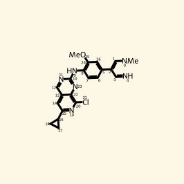 CN/C=C(\C=N)c1ccc(Nc2ncc3cc(C4CC4)nc(Cl)c3n2)c(OC)c1